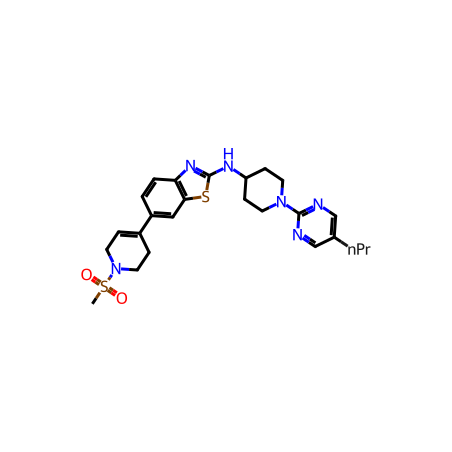 CCCc1cnc(N2CCC(Nc3nc4ccc(C5=CCN(S(C)(=O)=O)CC5)cc4s3)CC2)nc1